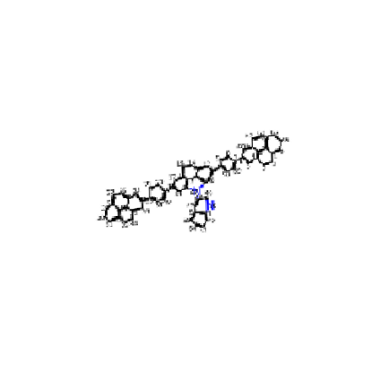 C1=c2ccc3cc(-c4ccc(-c5cc6ccc7cc(-c8ccc(-c9cc%10ccc%11cccc%12ccc(c9)c%10c%11%12)cc8)cc8c7c6c(c5)n8-c5cnc6ccccc6c5)cc4)cc4ccc(c2c43)CC1